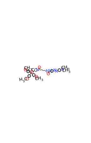 [CH2]C1(COC(c2ccc(OC)cc2)(c2ccc(OC)cc2)c2ccc(OC)cc2)CCN(C(=O)CCCCCNC(=O)c2ccc(/N=N/c3ccc(N(C)C)cc3)cc2)CC1